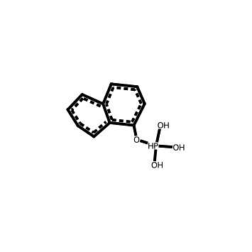 O[PH](O)(O)Oc1cccc2ccccc12